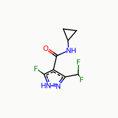 O=C(NC1CC1)c1c(C(F)F)n[nH]c1F